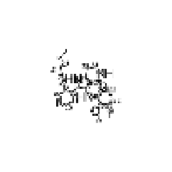 CCC(C)(C)C#Cc1cnccc1-c1[nH]c2c(c1Nc1cccc(F)c1OC)C(=O)NCC2